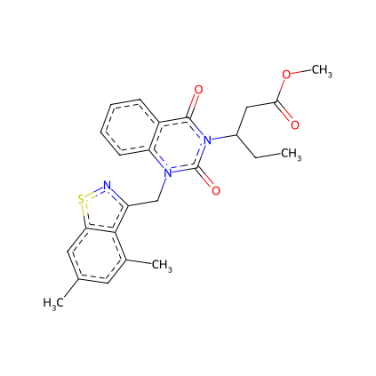 CCC(CC(=O)OC)n1c(=O)c2ccccc2n(Cc2nsc3cc(C)cc(C)c23)c1=O